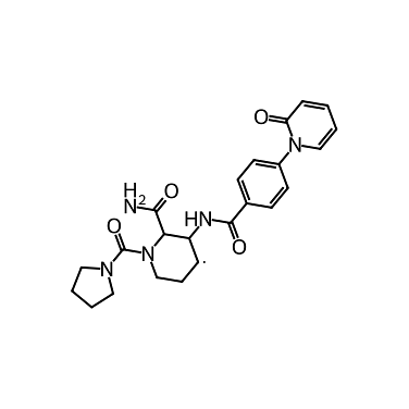 NC(=O)C1C(NC(=O)c2ccc(-n3ccccc3=O)cc2)[CH]CCN1C(=O)N1CCCC1